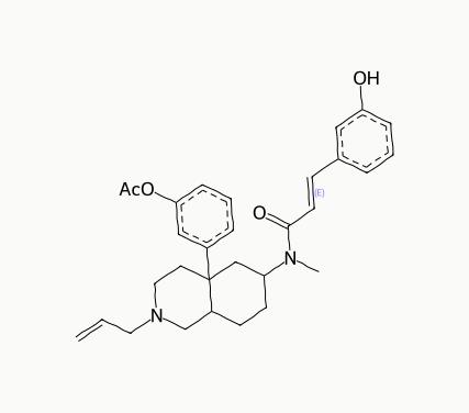 C=CCN1CCC2(c3cccc(OC(C)=O)c3)CC(N(C)C(=O)/C=C/c3cccc(O)c3)CCC2C1